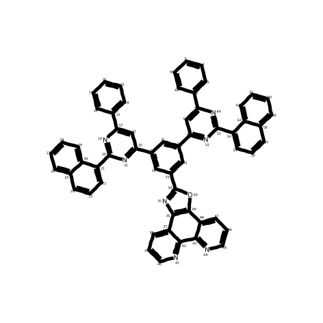 c1ccc(-c2cc(-c3cc(-c4cc(-c5ccccc5)nc(-c5cccc6ccccc56)n4)cc(-c4nc5c6cccnc6c6ncccc6c5o4)c3)nc(-c3cccc4ccccc34)n2)cc1